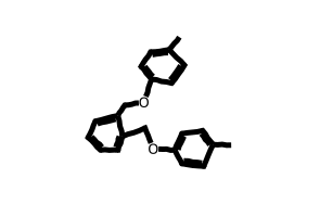 Cc1ccc(OCc2ccccc2COc2ccc(C)cc2)cc1